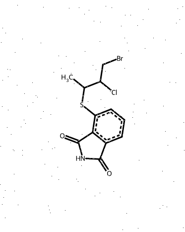 CC(Sc1cccc2c1C(=O)NC2=O)C(Cl)CBr